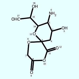 NC1C(O)CC2(OCC(=O)OC2=O)OC1C(O)C=O